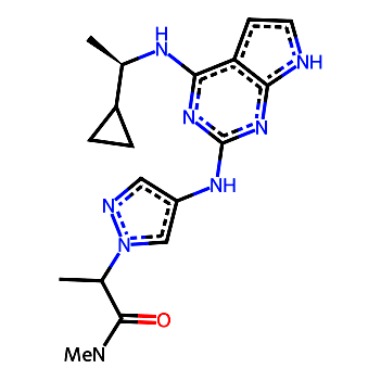 CNC(=O)C(C)n1cc(Nc2nc(N[C@H](C)C3CC3)c3cc[nH]c3n2)cn1